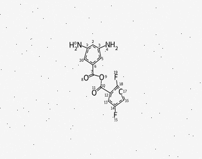 Nc1cc(N)cc(C(=O)OC(=O)c2cc(F)ccc2F)c1